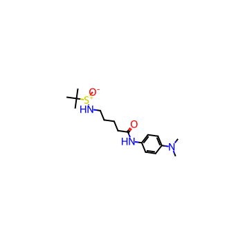 CN(C)c1ccc(NC(=O)CCCCN[S+]([O-])C(C)(C)C)cc1